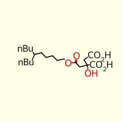 CCCCC(CCCC)CCCCCOC(=O)CC(O)(CC(=O)O)C(=O)O